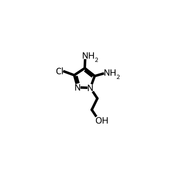 Nc1c(Cl)nn(CCO)c1N